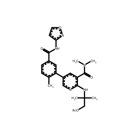 CC(=O)OCC(C)(C)Nc1ncc(-c2cc(C(=O)Nc3ccon3)ccc2C)cc1C(=O)N(C)C